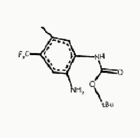 Cc1cc(NC(=O)OC(C)(C)C)c(N)cc1C(F)(F)F